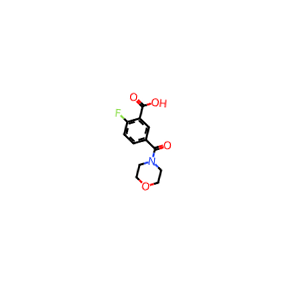 O=C(O)c1cc(C(=O)N2CCOCC2)ccc1F